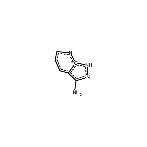 Nc1n[nH][12c]2ncccc12